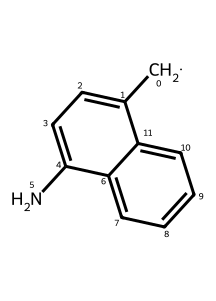 [CH2]c1ccc(N)c2ccccc12